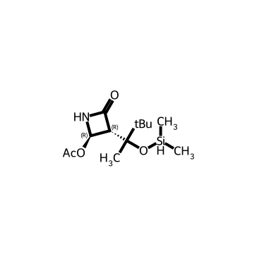 CC(=O)O[C@H]1NC(=O)[C@@H]1C(C)(O[SiH](C)C)C(C)(C)C